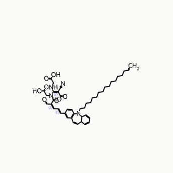 C=CCCCCCCCCCCCCCCCN1c2ccc(/C=C/C=C(/C=O)C(=O)N(CC(=O)O)/C(NCC(=O)O)=C(/C#N)C(=O)O)cc2C=CC2C=CC=CC21